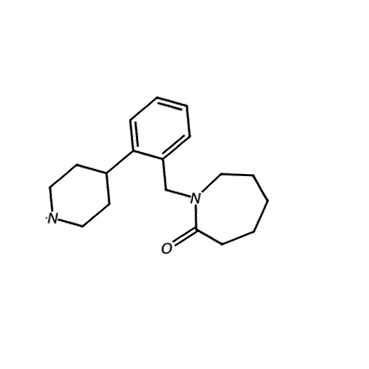 O=C1CCCCCN1Cc1ccccc1C1CC[N]CC1